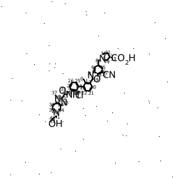 Cc1c(-c2nc3cc(CN4CC[C@H](C(=O)O)C4)cc(C#N)c3o2)cccc1-c1cccc(NC(=O)c2nc3c(n2C)CCN(CCO)C3)c1Cl